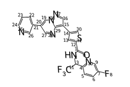 O=C(NC(c1ccc(F)cn1)C(F)(F)F)c1cc(-c2cnn3cc(-c4cccnc4)cnc23)cs1